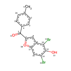 Cc1ccc(C(=O)c2cc3c(Br)c(O)c(Br)cc3o2)cc1